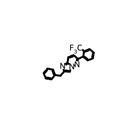 FC(F)(F)c1ccccc1-c1ccc2nc(Cc3ccccc3)cn2n1